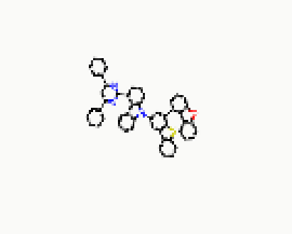 c1ccc(-c2cc(-c3ccccc3)nc(-c3cccc4c3c3ccccc3n4-c3cc(-c4cccc5oc6ccccc6c45)c4sc5ccccc5c4c3)n2)cc1